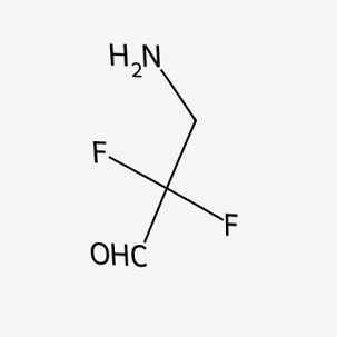 NCC(F)(F)C=O